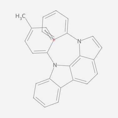 Cc1ccc(-n2c3ccccc3c3ccc4ccn(-c5ccccc5)c4c32)cc1